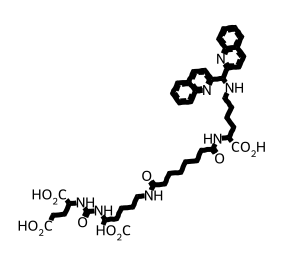 O=C(O)CCC(NC(=O)NC(CCCCNC(=O)CCCCCCC(=O)NC(CCCCNC(c1ccc2ccccc2n1)c1ccc2ccccc2n1)C(=O)O)C(=O)O)C(=O)O